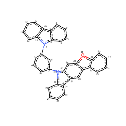 c1cc(-n2c3ccccc3c3ccccc32)cc(-n2c3ccccc3c3cc4c(cc32)oc2ccccc24)c1